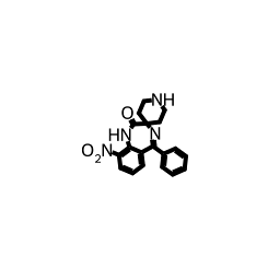 O=C1Nc2c(cccc2[N+](=O)[O-])C(c2ccccc2)=NC12CCNCC2